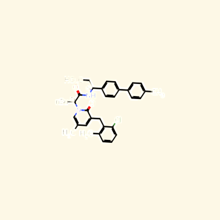 CCCC[C@@H](C(=O)N[C@@H](CC(=O)O)c1ccc(-c2ccc(C)cc2)cc1)n1cc(C)cc(Cc2c(C)cccc2Cl)c1=O